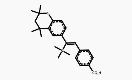 CC1(C)CC(C)(C)c2cc(/C(=C/c3ccc(C(=O)O)cc3)[Si](C)(C)C)ccc2O1